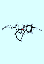 CCCCCCC(CC)C12CCCC(CC(N)C1)N2Cc1ccc(F)cc1